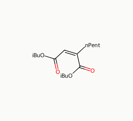 CCCCCC(=CC(=O)OCC(C)C)C(=O)OCC(C)C